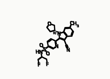 Cc1ccc2c(C#N)c(-c3ccc(S(=O)(=O)NC(CF)CF)cn3)n([C@@H]3CCOC3)c2c1